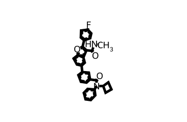 CNC(=O)c1c(-c2ccc(F)cc2)oc2ccc(-c3cccc(C(=O)N(c4ccccc4)C4CCC4)c3)cc12